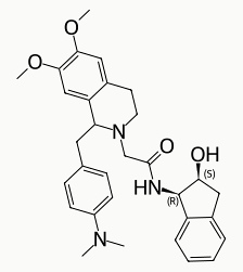 COc1cc2c(cc1OC)C(Cc1ccc(N(C)C)cc1)N(CC(=O)N[C@@H]1c3ccccc3C[C@@H]1O)CC2